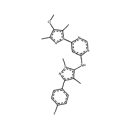 COc1c(C)nn(-c2cc(Nc3c(C)c(-c4ccc(F)cc4)nn3C)ncn2)c1C